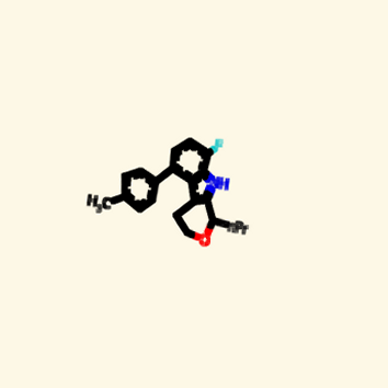 CCCC1OCCc2c1[nH]c1c(F)ccc(-c3ccc(C)cc3)c21